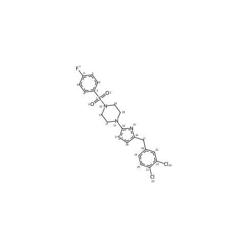 O=S(=O)(c1ccc(F)cc1)N1CCN(c2nc(Cc3ccc(Cl)c(Cl)c3)cs2)CC1